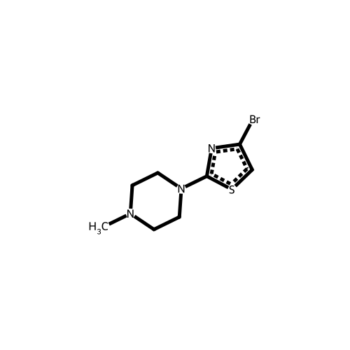 CN1CCN(c2nc(Br)cs2)CC1